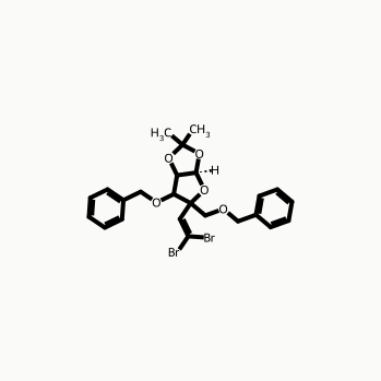 CC1(C)OC2C(OCc3ccccc3)C(C=C(Br)Br)(COCc3ccccc3)O[C@@H]2O1